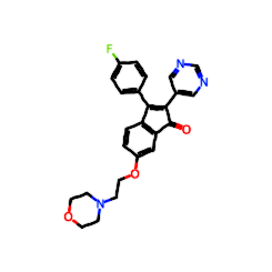 O=C1C(c2cncnc2)=C(c2ccc(F)cc2)c2ccc(OCCN3CCOCC3)cc21